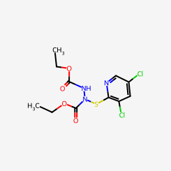 CCOC(=O)NN(Sc1ncc(Cl)cc1Cl)C(=O)OCC